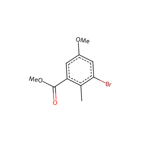 COC(=O)c1cc(OC)cc(Br)c1C